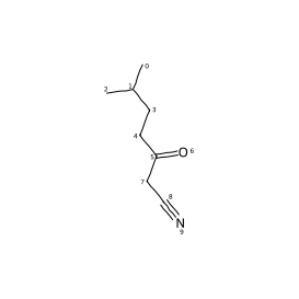 CC(C)CCC(=O)CC#N